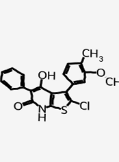 COc1cc(-c2c(Cl)sc3[nH]c(=O)c(-c4ccccc4)c(O)c23)ccc1C